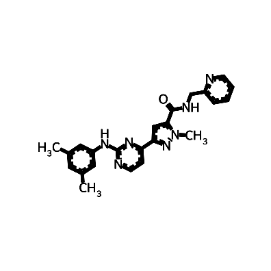 Cc1cc(C)cc(Nc2nccc(-c3cc(C(=O)NCc4ccccn4)n(C)n3)n2)c1